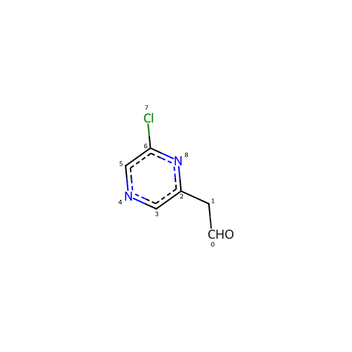 O=CCc1cncc(Cl)n1